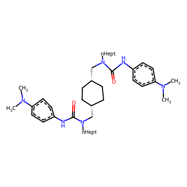 CCCCCCCN(C[C@H]1CC[C@@H](CN(CCCCCCC)C(=O)Nc2ccc(N(C)C)cc2)CC1)C(=O)Nc1ccc(N(C)C)cc1